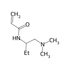 C=CC(=O)NC(CC)CN(C)C